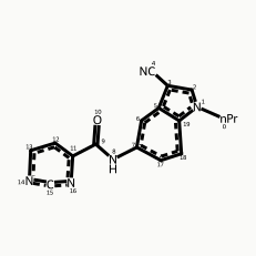 CCCn1cc(C#N)c2cc(NC(=O)c3ccncn3)ccc21